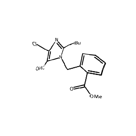 CCC(C)c1nc(Cl)c(C=O)n1Cc1ccccc1C(=O)OC